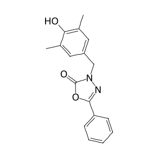 Cc1cc(Cn2nc(-c3ccccc3)oc2=O)cc(C)c1O